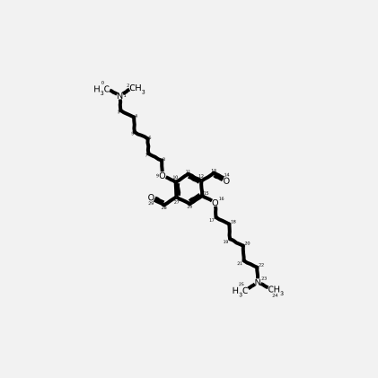 CN(C)CCCCCCOc1cc(C=O)c(OCCCCCCN(C)C)cc1C=O